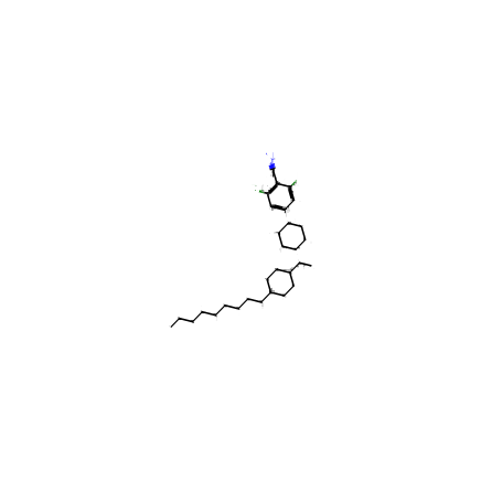 CCCCCCCCCC1CCC(C(C)[C@H]2CC[C@H](c3cc(F)c(C#N)c(F)c3)CC2)CC1